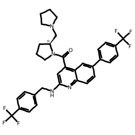 O=C(c1cc(NCc2ccc(C(F)(F)F)cc2)nc2ccc(-c3ccc(C(F)(F)F)cc3)cc12)N1CCC[C@H]1CN1CCCC1